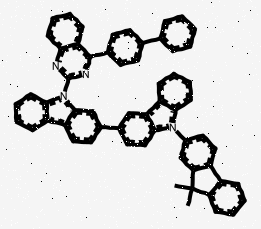 CC1(C)c2ccccc2-c2ccc(-n3c4ccccc4c4cc(-c5ccc6c7ccccc7n(-c7nc(-c8ccc(-c9ccccc9)cc8)c8ccccc8n7)c6c5)ccc43)cc21